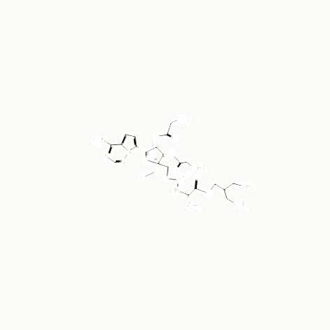 CCC(=O)O[C@H]1[C@H](c2ccc3c(N)ncnn23)O[C@](CF)(CO[PH](=O)N[C@@H](C)C(=O)OCC(CC)CC)[C@H]1OC(=O)CC